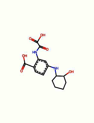 O=C(O)C(=O)Nc1cc(NC2CCCCC2O)ccc1C(=O)O